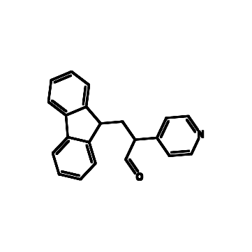 O=CC(CC1c2ccccc2-c2ccccc21)c1ccncc1